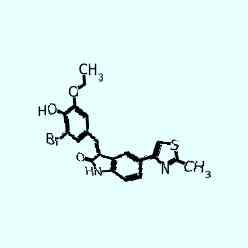 CCOc1cc(/C=C2\C(=O)Nc3ccc(-c4csc(C)n4)cc32)cc(Br)c1O